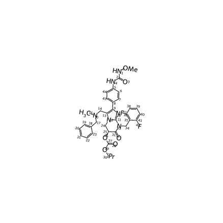 CONC(=O)Nc1ccc(-c2nc3n(c2CN(C)Cc2ccccc2)C[C@H](OC(=O)OC(C)C)C(=O)N3Cc2c(F)cccc2F)cc1